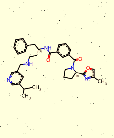 Cc1coc([C@H]2CCCN2C(=O)c2cccc(C(=O)N[C@H](CCNCc3cncc(C(C)C)c3)Cc3ccccc3)c2)n1